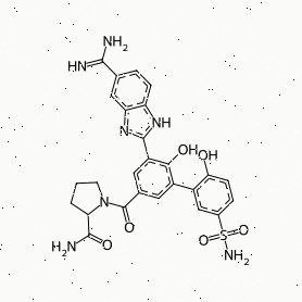 N=C(N)c1ccc2[nH]c(-c3cc(C(=O)N4CCCC4C(N)=O)cc(-c4cc(S(N)(=O)=O)ccc4O)c3O)nc2c1